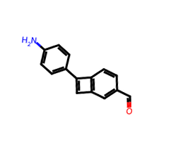 Nc1ccc(C2=Cc3cc(C=O)ccc32)cc1